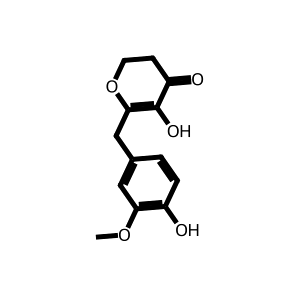 COc1cc(CC2=C(O)C(=O)CCO2)ccc1O